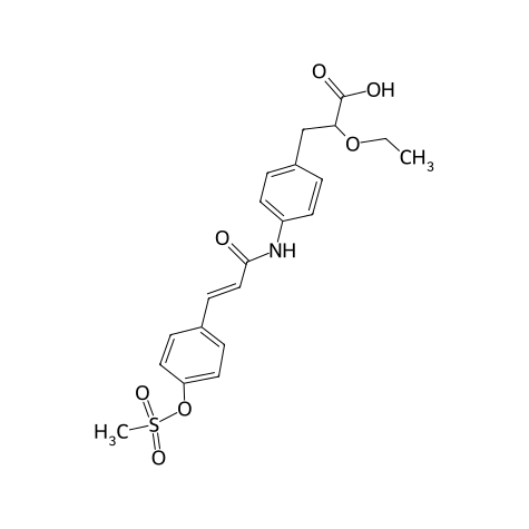 CCOC(Cc1ccc(NC(=O)C=Cc2ccc(OS(C)(=O)=O)cc2)cc1)C(=O)O